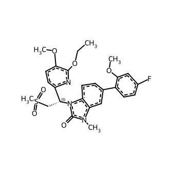 CCOc1nc([C@@H](CS(C)(=O)=O)n2c(=O)n(C)c3cc(-c4ccc(F)cc4OC)ccc32)ccc1OC